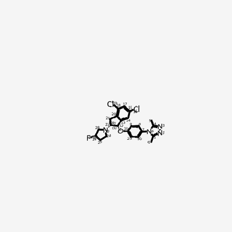 Cc1nnc(C)n1-c1ccc(O[C@H]2c3cc(Cl)cc(Cl)c3C[C@H]2N2CC[C@@H](F)C2)cc1